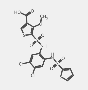 COc1c(C(=O)O)csc1S(=O)(=O)Nc1cc(Cl)c(Cl)cc1NS(=O)(=O)c1cccs1